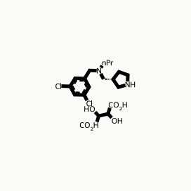 CCCN(Cc1cc(Cl)cc(Cl)c1)C[C@@H]1CCNC1.O=C(O)C(O)C(O)C(=O)O